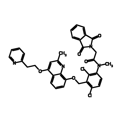 Cc1cc(OCCc2ccccn2)c2cccc(OCc3c(Cl)ccc(N(C)C(=O)CN4C(=O)c5ccccc5C4=O)c3Cl)c2n1